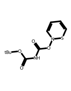 CC(C)(C)OC(=O)NC(=O)ON1C=CC=CS1